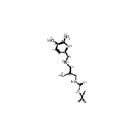 CC(C)(C)OC(=O)NCC(O)CNCc1ccc(O)c(N)n1